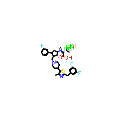 Cc1nc(Cc2cc(F)cc(F)c2)sc1C1CCN(CC2CC(N(C)[C@@H](C(=O)O)C(C)C)CC2c2cccc(F)c2)CC1.Cl.Cl.Cl